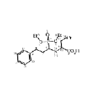 CCOP(=O)(OCC)C(CCc1ccccc1)N[C@@H](CC(C)C)C(=O)O